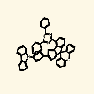 c1ccc(-c2nc(-c3ccccc3)nc(-c3cccc4c3-c3cc(-c5ccc(-n6c7ccccc7c7ccccc76)cc5)ccc3C43c4ccccc4Oc4ccccc43)n2)cc1